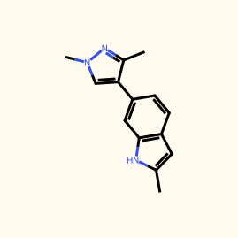 Cc1cc2ccc(-c3cn(C)nc3C)cc2[nH]1